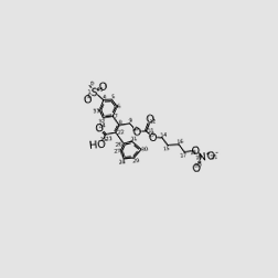 CS(=O)(=O)c1ccc(C(COC(=O)OCCCCO[N+](=O)[O-])=C(C(=O)O)c2ccccc2)cc1